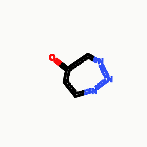 O=c1ccnnnc1